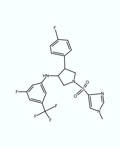 Cn1cnc(S(=O)(=O)N2CC(Nc3cc(F)cc(C(F)(F)F)c3)C(c3ccc(F)cc3)C2)c1